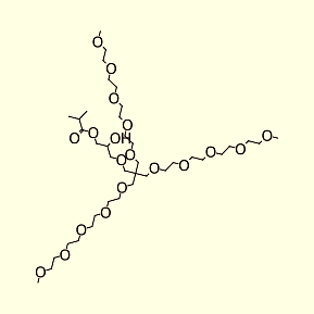 COCCOCCOCCOCCOCC(COCCOCCOCCOCCOC)(COCCOCCOCCOCCOC)COCC(O)COC(=O)C(C)C